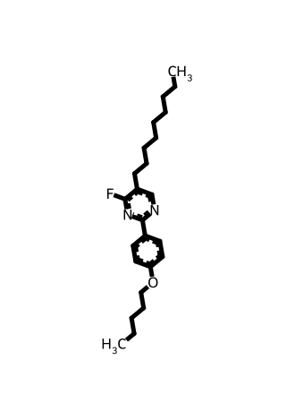 CCCCCCCCCc1cnc(-c2ccc(OCCCCC)cc2)nc1F